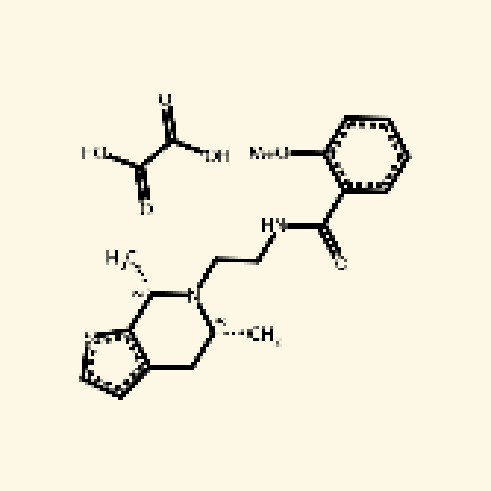 COc1ccccc1C(=O)NCCN1[C@H](C)Cc2ccsc2[C@@H]1C.O=C(O)C(=O)O